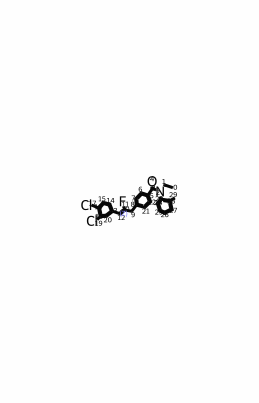 CCN(C(=O)c1ccc(C/C(F)=C/c2ccc(Cl)c(Cl)c2)cc1)c1ccccc1C